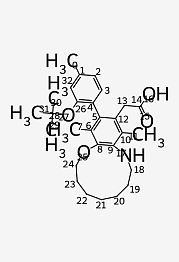 Cc1ccc(-c2c(C)c3c(c(C)c2CC(=O)O)NCCCCCCCO3)c(OC(C)(C)C)c1